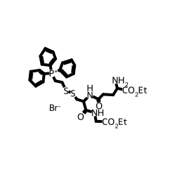 CCOC(=O)CNC(=O)C(CSSCC[P+](c1ccccc1)(c1ccccc1)c1ccccc1)NC(=O)CCC(N)C(=O)OCC.[Br-]